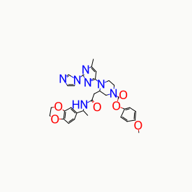 COc1ccc(OC(=O)N2CCN(c3cc(C)nc(-n4ccnc4)n3)C(CC(=O)NC(C)c3ccc4c(c3)OCCO4)C2)cc1